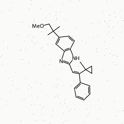 COCC(C)(C)c1ccc2[nH]c(/C=C(/c3ccccc3)C3(C)CC3)nc2c1